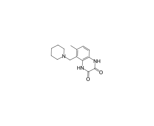 Cc1ccc2[nH]c(=O)c(=O)[nH]c2c1CN1CCCCC1